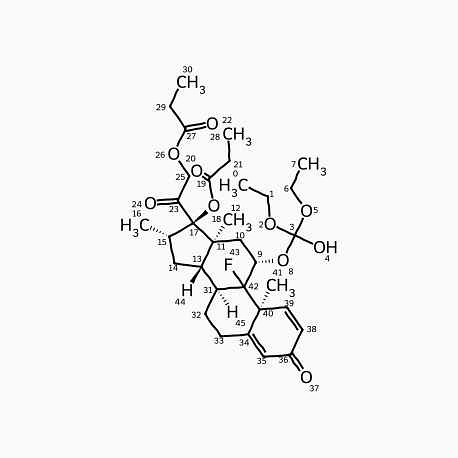 CCOC(O)(OCC)O[C@H]1C[C@@]2(C)[C@@H](C[C@H](C)[C@]2(OC(=O)CC)C(=O)COC(=O)CC)[C@@H]2CCC3=CC(=O)C=C[C@]3(C)C12F